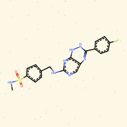 CNS(=O)(=O)c1ccc(CNc2ncc3c(n2)NNC(c2ccc(F)cc2)=N3)cc1